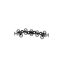 O=C(Oc1ccc(S(=O)(=O)c2ccc(OC(=O)c3ccc4c(c3)C(=O)NC4=O)cc2)cc1)c1ccc2c(c1)C(=O)NC2=O